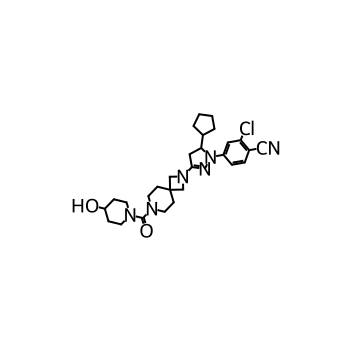 N#Cc1ccc(N2N=C(N3CC4(CCN(C(=O)N5CCC(O)CC5)CC4)C3)CC2C2CCCC2)cc1Cl